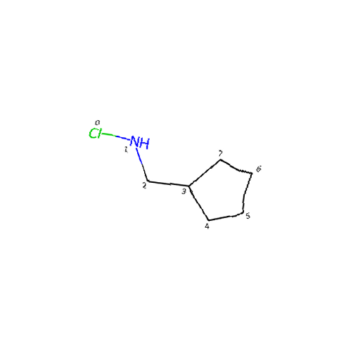 ClNCC1CCCC1